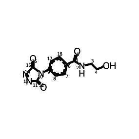 O=C(NCCO)c1ccc(N2C(=O)N=NC2=O)cc1